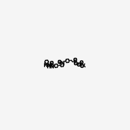 Cc1ccccc1NC(=O)Nc1ccc(-c2cccn(Cc3ccc(CCC(=O)OCOC(=O)OC(C)C)cc3)c2=O)cc1